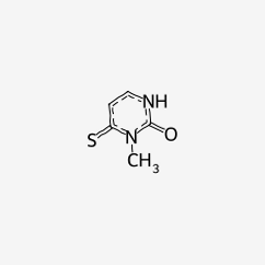 Cn1c(=S)cc[nH]c1=O